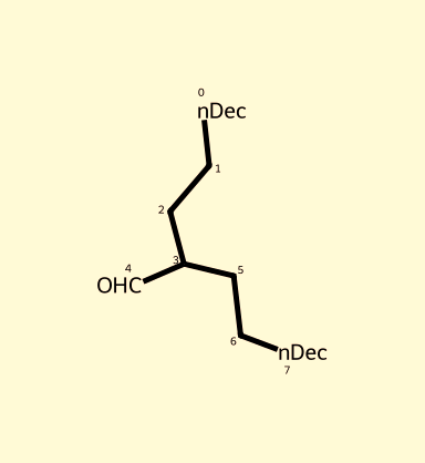 CCCCCCCCCCCCC(C=O)CCCCCCCCCCCC